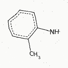 Cc1ccccc1[NH]